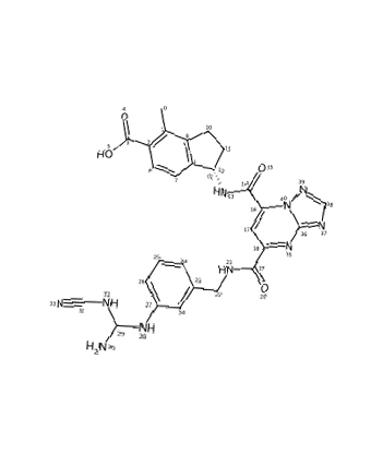 Cc1c(C(=O)O)ccc2c1CC[C@@H]2NC(=O)c1cc(C(=O)NCc2cccc(NC(N)NC#N)c2)nc2ncnn12